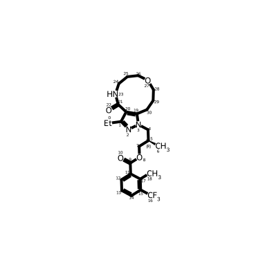 CCc1nn(C[C@@H](C)COC(=O)c2cccc(C(F)(F)F)c2C)c2c1C(=O)NCCCOCCC2